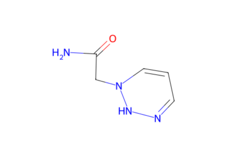 NC(=O)CN1C=CC=NN1